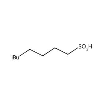 CCC(C)CCCCS(=O)(=O)O